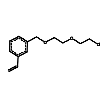 C=Cc1cccc(COCCOCCCl)c1